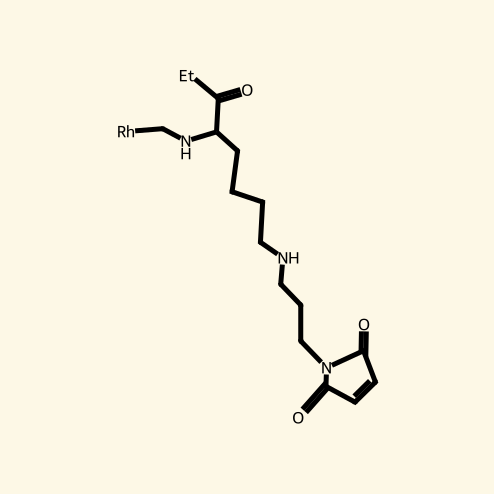 CCC(=O)C(CCCCNCCCN1C(=O)C=CC1=O)N[CH2][Rh]